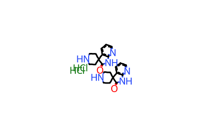 Cl.Cl.O=C1Nc2ncccc2C12CCNCC2.O=C1Nc2ncccc2C12CCNCC2